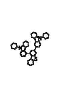 c1ccc(-n2c3ccccc3c3cc(-c4cc(-c5cccc6c5c5ccccc5n6-c5ccccc5)c5c(c4)sc4ccccc45)ccc32)cc1